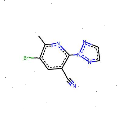 Cc1nc(-n2nccn2)c(C#N)cc1Br